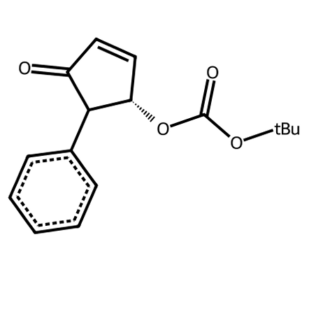 CC(C)(C)OC(=O)O[C@H]1C=CC(=O)C1c1ccccc1